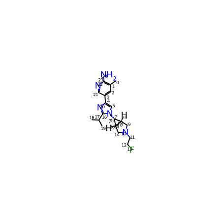 Cc1cc(-c2cn([C@H]3[C@@H]4CN(CCF)C[C@@H]43)c(C(C)C)n2)cnc1N